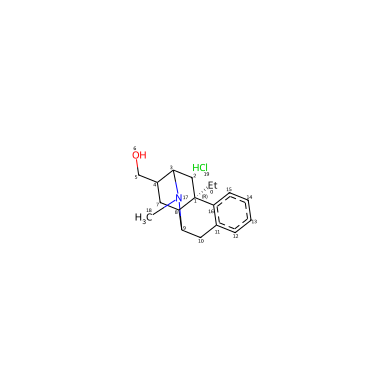 CC[C@@]12CC3C(CO)CC1C(Cc1ccccc12)N3C.Cl